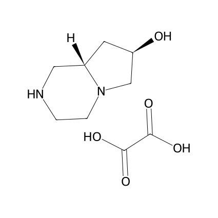 O=C(O)C(=O)O.O[C@@H]1C[C@H]2CNCCN2C1